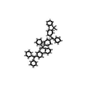 CC1(C)c2ccccc2-c2ccc(N(c3ccccc3)c3ccc(C4(c5ccccc5)Oc5cc(N(c6ccccc6)c6ccccc6)ccc5-c5ccccc54)cc3)cc21